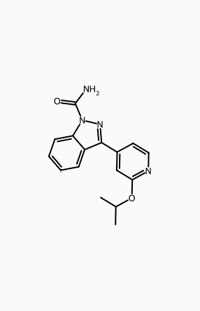 CC(C)Oc1cc(-c2nn(C(N)=O)c3cc[c]cc23)ccn1